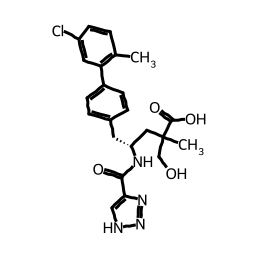 Cc1ccc(Cl)cc1-c1ccc(C[C@H](CC(C)(CO)C(=O)O)NC(=O)c2c[nH]nn2)cc1